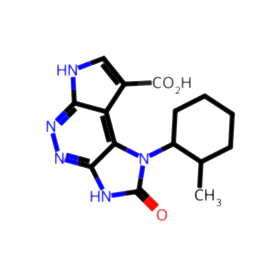 CC1CCCCC1n1c(=O)[nH]c2nnc3[nH]cc(C(=O)O)c3c21